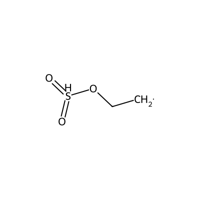 [CH2]CO[SH](=O)=O